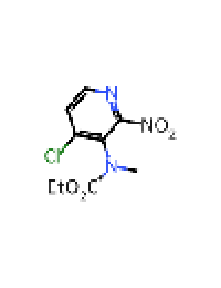 CCOC(=O)N(C)c1c(Cl)ccnc1[N+](=O)[O-]